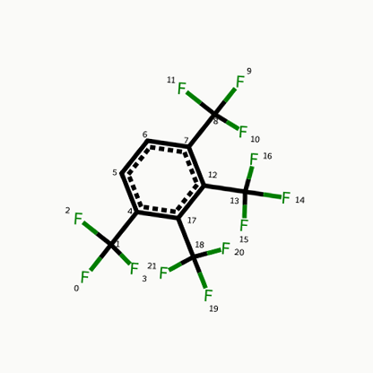 FC(F)(F)c1[c]cc(C(F)(F)F)c(C(F)(F)F)c1C(F)(F)F